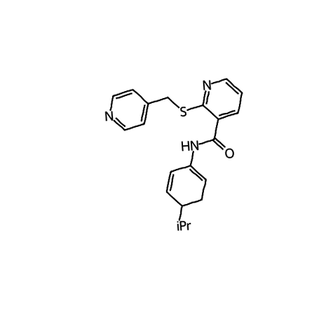 CC(C)C1C=CC(NC(=O)c2cccnc2SCc2ccncc2)=CC1